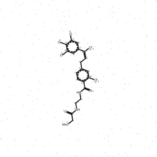 CSCC(=O)NCCNC(=O)c1ccc(C/C=C(\c2cc(Cl)c(Cl)c(Cl)c2)C(F)(F)F)cc1C(F)(F)F